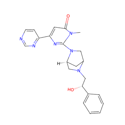 Cn1c(N2CC3C[C@H]2CN3C[C@@H](O)c2ccccc2)nc(-c2ccncn2)cc1=O